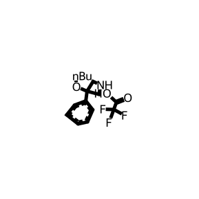 CCCCOC1(c2ccccc2)CNC1.O=C(O)C(F)(F)F